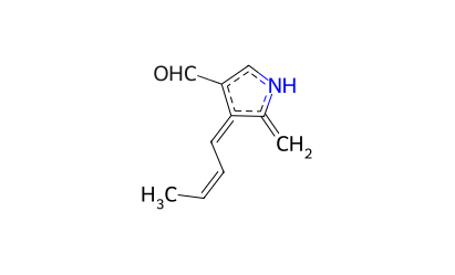 C=c1[nH]cc(C=O)/c1=C/C=C\C